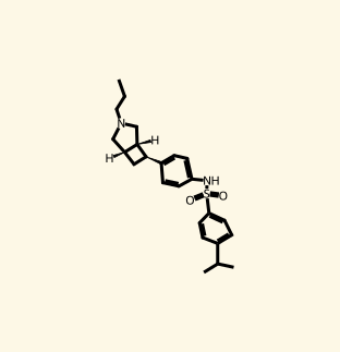 CCCN1C[C@H]2C[C@H](c3ccc(NS(=O)(=O)c4ccc(C(C)C)cc4)cc3)[C@H]2C1